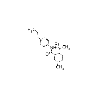 CCCc1ccc(NC(=O)[C@@H]2C[C@H](C)CC[C@H]2C(C)C)cc1